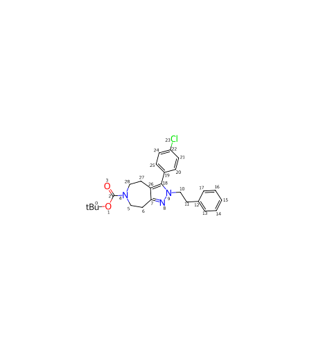 CC(C)(C)OC(=O)N1CCc2nn(CCc3ccccc3)c(-c3ccc(Cl)cc3)c2CC1